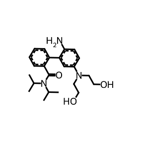 CC(C)N(C(=O)c1ccccc1-c1cc(N(CCO)CCO)ccc1N)C(C)C